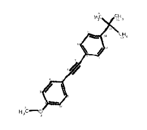 COc1ccc(C#Cc2ccc(C(C)(C)C)cc2)cc1